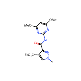 CCOC(=O)c1cn(C)nc1C(=O)Nc1nc(OC)cc(OC)n1